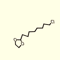 ClCCCCCCCCC1OCCO1